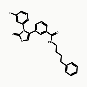 O=C(NCCCCc1ccccc1)c1cccc(-c2csc(=O)n2-c2cccc(F)c2)c1